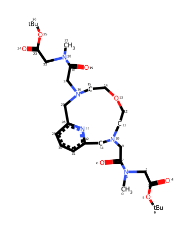 CN(CC(=O)OC(C)(C)C)C(=O)CN1CCOCCN(CC(=O)N(C)CC(=O)OC(C)(C)C)Cc2cccc(n2)C1